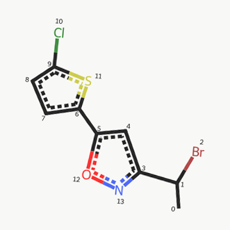 CC(Br)c1cc(-c2ccc(Cl)s2)on1